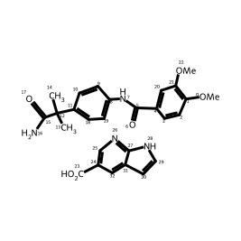 COc1ccc(C(=O)Nc2ccc(C(C)(C)C(N)=O)cc2)cc1OC.O=C(O)c1cnc2[nH]ccc2c1